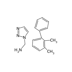 Cc1cccc(-c2ccccc2)c1C.NCn1ccnn1